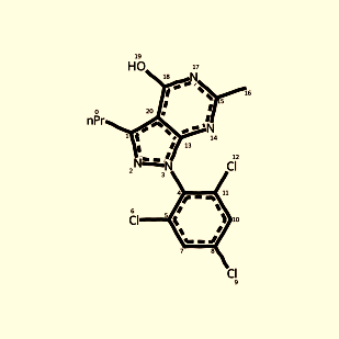 CCCc1nn(-c2c(Cl)cc(Cl)cc2Cl)c2nc(C)nc(O)c12